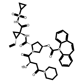 C=C[C@@H]1C[C@]1(NC(=O)[C@@H]1C[C@@H](OC(=O)N2c3ccccc3C=Cc3ccccc32)CN1C(=O)[C@@H](CC(=O)N1CCCCC1)C(C)(C)C)C(=O)NS(=O)(=O)C1CC1